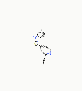 CC#Cc1cc(-c2csc(Nc3cccc(C)c3)n2)ccn1